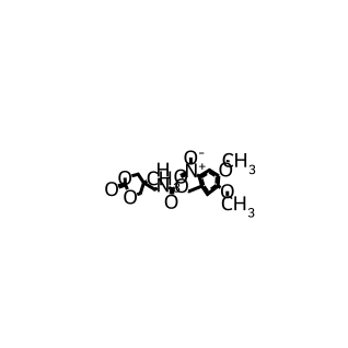 COc1cc(COC(=O)NCC2(C)COC(=O)OC2)c([N+](=O)[O-])cc1OC